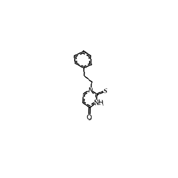 O=c1ccn(CCc2ccccc2)c(=S)[nH]1